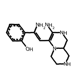 NC1=C(/C=C(\N)c2ccccc2O)N2CCNCC2CN1